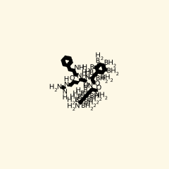 Bc1c(B)c(B)c(C(B)(B)[C@H](NC(=O)[C@@H](CCCNC(=N)N)NC(=O)[C@@H](N)Cc2ccccc2)C(=O)NC(C(N)=O)C(B)(B)C(B)(B)C(B)(B)C(B)(B)N)c(B)c1B